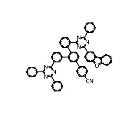 N#Cc1ccc(-c2ccc(-c3ccccc3-c3nc(-c4ccccc4)nc(-c4ccc5oc6ccccc6c5c4)n3)c(-c3cccc(-c4nc(-c5ccccc5)nc(-c5ccccc5)n4)c3)c2)cc1